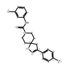 O=C(Nc1cccc(Cl)c1)N1CCC2(CC1)CC(c1ccc(C(F)(F)F)cc1)=NO2